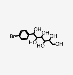 OCC(O)C(O)C(O)C(O)C(O)c1ccc(Br)cc1